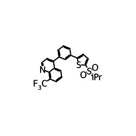 CC(C)S(=O)(=O)c1ccc(-c2cccc(-c3ccnc4c(C(F)(F)F)cccc34)c2)s1